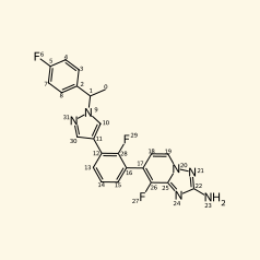 CC(c1ccc(F)cc1)n1cc(-c2cccc(-c3ccn4nc(N)nc4c3F)c2F)cn1